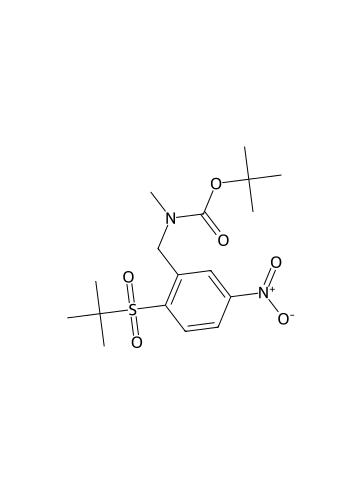 CN(Cc1cc([N+](=O)[O-])ccc1S(=O)(=O)C(C)(C)C)C(=O)OC(C)(C)C